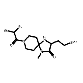 CCC(CC)C(=O)N1CCC2(CC1)NC(CCSC)C(=O)N2C